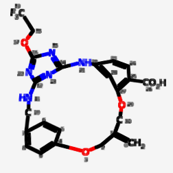 C=C1COc2ccc(cc2)CNc2nc(nc(OCC(F)(F)F)n2)Nc2ccc(C(=O)O)c(c2)OC1